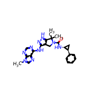 Cn1cnc2c(Nc3n[nH]c4c3CN(C(=O)N[C@@H]3C[C@H]3c3ccccc3)C4(C)C)ncnc21